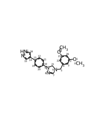 COc1cc(CN2C=NN(c3ccc(-c4cn[nH]c4)cc3)C2)cc(OC)c1